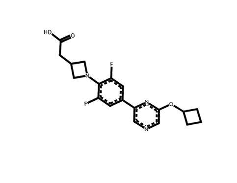 O=C(O)CC1CN(c2c(F)cc(-c3cncc(OC4CCC4)n3)cc2F)C1